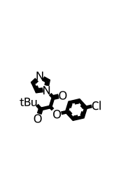 CC(C)(C)C(=O)C(Oc1ccc(Cl)cc1)C(=O)n1ccnc1